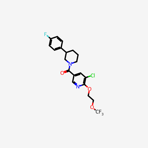 O=C(c1cnc(OCCOC(F)(F)F)c(Cl)c1)N1CCCC(c2ccc(F)cc2)C1